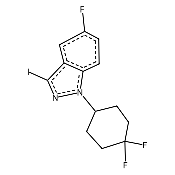 Fc1ccc2c(c1)c(I)nn2C1CCC(F)(F)CC1